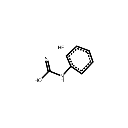 F.OC(=S)Nc1ccccc1